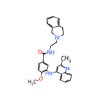 COc1ccc(C(=O)NCCN2CCc3ccccc3C2)cc1Nc1cc(C)nc2ccccc12